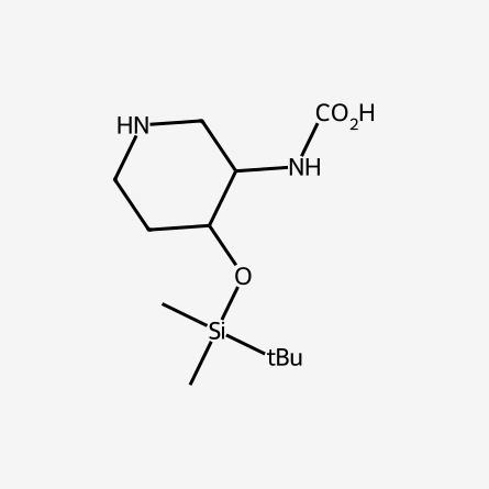 CC(C)(C)[Si](C)(C)OC1CCNCC1NC(=O)O